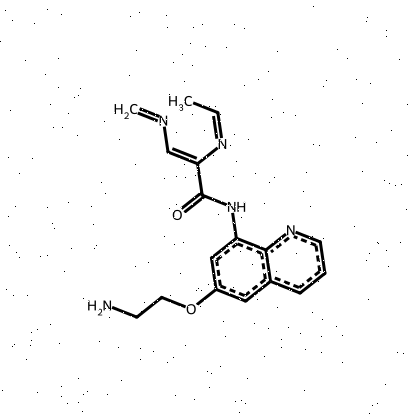 C=N/C=C(\N=C/C)C(=O)Nc1cc(OCCN)cc2cccnc12